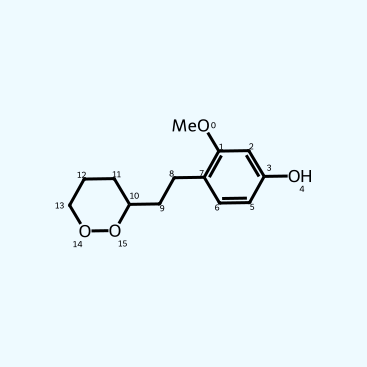 COc1cc(O)ccc1CCC1CCCOO1